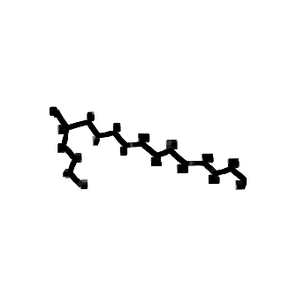 [CH2]C(CCCC)CCCCCCCCCCCC